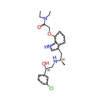 CCN(CC)C(=O)COc1cccc2c(C[C@@H](C)NC[C@H](O)c3cccc(Cl)c3)c[nH]c12